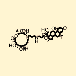 CC[C@H]1OC(=O)[C@H](C)[C@@H](O)[C@H](C)[C@@H](O)[C@](C)(O)C[C@@H](C)CN(CCCNCCC(=O)O[C@]2(C(=O)CO)[C@H](C)CC3C4C[C@H](F)C5=CC(=O)C=C[C@]5(C)C4[C@@H](O)C[C@@]32C)[C@H](C)[C@@H](O)[C@]1(C)O